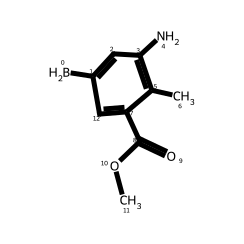 Bc1cc(N)c(C)c(C(=O)OC)c1